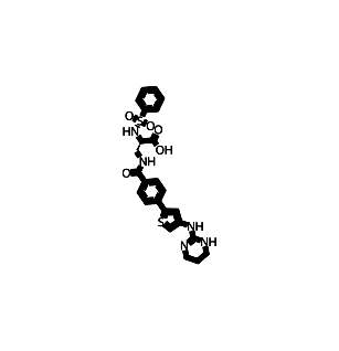 O=C(NC[C@H](NS(=O)(=O)c1ccccc1)C(=O)O)c1ccc(-c2cc(NC3=NCCCN3)cs2)cc1